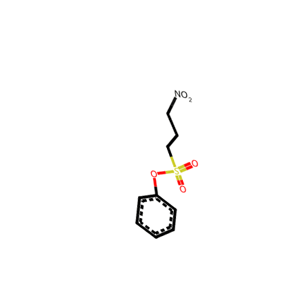 O=[N+]([O-])CCCS(=O)(=O)Oc1ccccc1